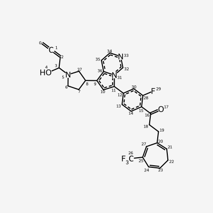 C=C=CC(O)N1CCC(c2cc(-c3ccc(C(=O)CCC4=CCC=CC(C(F)(F)F)=C4)c(F)c3)n3cnccc23)C1